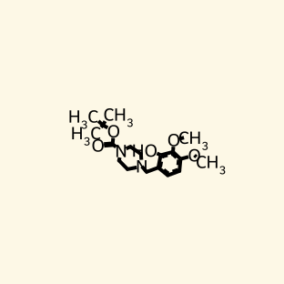 COc1ccc(CN2CCN(C(=O)OC(C)(C)C)CC2)c(O)c1OC